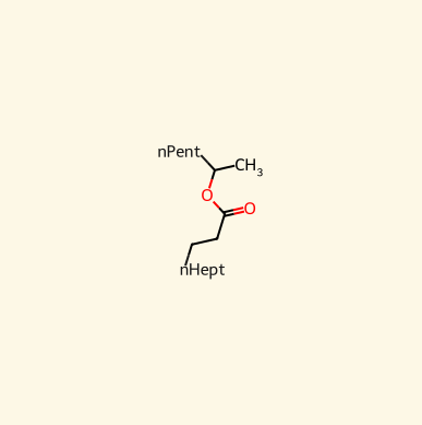 CCCCCCCCCC(=O)OC(C)CCCCC